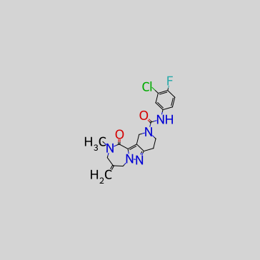 C=C1CN(C)C(=O)c2c3c(nn2C1)CCN(C(=O)Nc1ccc(F)c(Cl)c1)C3